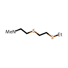 CCSCCSCCNC